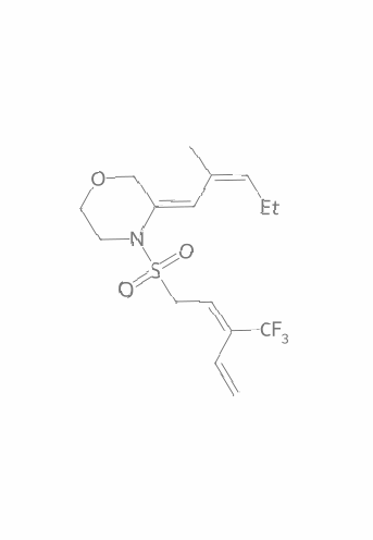 C=C/C(=C\CS(=O)(=O)N1CCOC/C1=C\C(C)=C/CC)C(F)(F)F